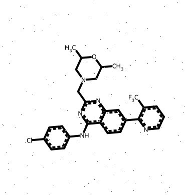 CC1CN(Cc2nc(Nc3ccc(Cl)cc3)c3ccc(-c4ncccc4C(F)(F)F)cc3n2)CC(C)O1